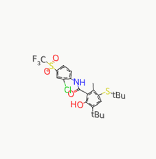 Cc1c(SC(C)(C)C)cc(C(C)(C)C)c(O)c1C(=O)Nc1ccc(S(=O)(=O)C(F)(F)F)cc1Cl